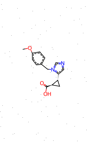 COc1ccc(Cn2cncc2[C@@H]2C[C@H]2C(=O)O)cc1